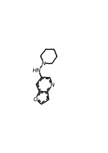 c1cc2ncc(NN3CCCCC3)cc2o1